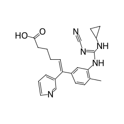 Cc1ccc(C(=CCCCC(=O)O)c2cccnc2)cc1NC(=NC#N)NC1CC1